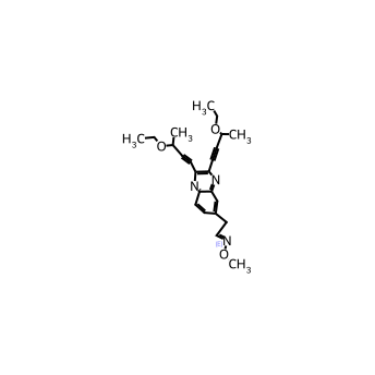 CCOC(C)C#Cc1nc2ccc(C/C=N/OC)cc2nc1C#CC(C)OCC